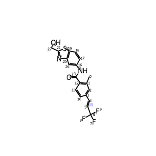 Cc1cc(/C=C/C(F)(F)F)ccc1C(=O)Nc1ccc2sc(CO)nc2c1